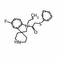 C=CC[N+]1(C(=O)CSc2ccccc2)CC2(CCNCC2)c2cc(F)ccc21